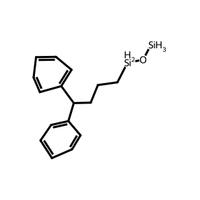 [SiH3]O[SiH2]CCCC(c1ccccc1)c1ccccc1